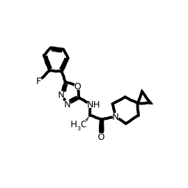 C[C@H](Nc1nnc(-c2ccccc2F)o1)C(=O)N1CCC2(CC1)CC2